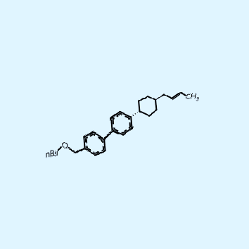 CC=CC[C@H]1CC[C@H](c2ccc(-c3ccc(COCCCC)cc3)cc2)CC1